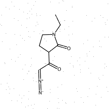 CCN1CCC(C(=O)C=[N+]=[N-])C1=O